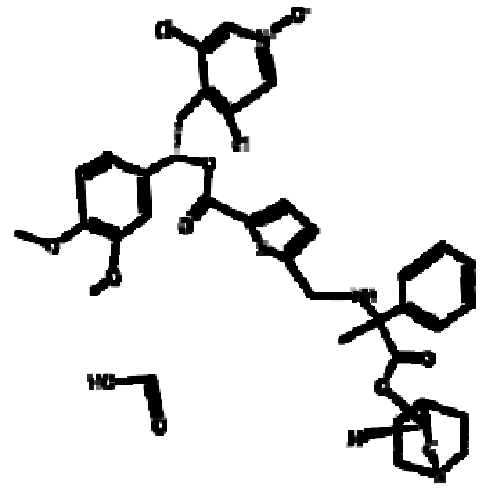 COc1ccc([C@H](Cc2c(Cl)c[n+]([O-])cc2Cl)OC(=O)c2ccc(CNC(C)(C(=O)O[C@H]3CN4CCC3CC4)c3ccccc3)s2)cc1OC.O=CO